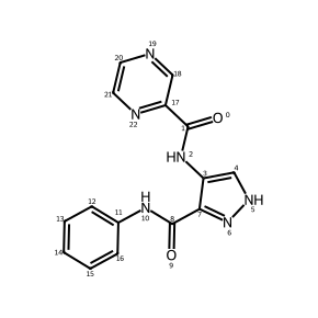 O=C(Nc1c[nH]nc1C(=O)Nc1ccccc1)c1cnccn1